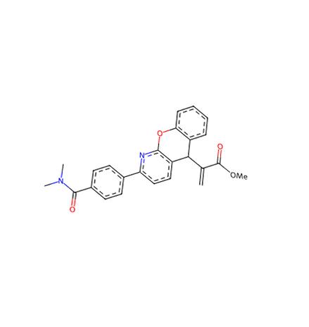 C=C(C(=O)OC)C1c2ccccc2Oc2nc(-c3ccc(C(=O)N(C)C)cc3)ccc21